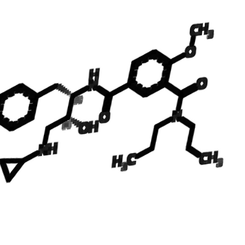 CCCN(CCC)C(=O)c1cc(C(=O)N[C@@H](Cc2ccccc2)[C@H](O)CNC2CC2)ccc1OC